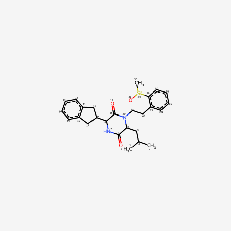 CC(C)CC1C(=O)NC(C2Cc3ccccc3C2)C(=O)N1CCc1ccccc1[S+](C)[O-]